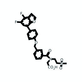 CS(=O)(=O)CCN(CC(=O)O)C(=O)c1cccc(COc2ccc(-c3cc(F)c(F)c4ccoc34)cc2)c1